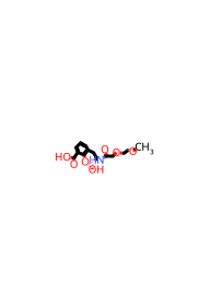 COCCOCC(=O)NC1Cc2cccc(C(=O)O)c2OB1O